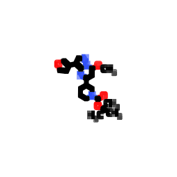 COc1cc(C2CCCN(C(=O)OC(C)(C)C)C2)nc2c(-c3ccoc3)cnn12